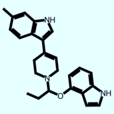 CCC(Oc1cccc2[nH]ccc12)N1CC=C(c2c[nH]c3cc(C)ccc23)CC1